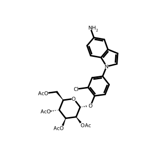 CC(=O)OC[C@H]1O[C@H](Oc2ccc(-n3ccc4cc(N)ccc43)cc2Cl)[C@@H](OC(C)=O)[C@@H](OC(C)=O)[C@@H]1OC(C)=O